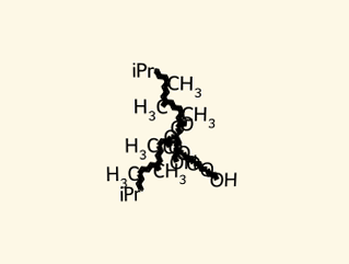 CC(C)CCCC(C)CCCC(C)CCCC(C)CC(=O)OC[C@@H](COC(CO)OCCOCCOCCO)OC(=O)CC(C)CCCC(C)CCCC(C)CCCC(C)C